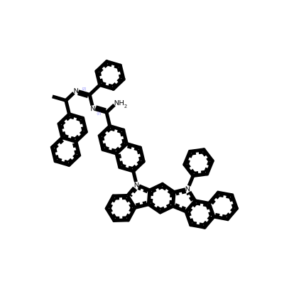 CC(/N=C(\N=C(/N)c1ccc2cc(-n3c4ccccc4c4cc5c6ccc7ccccc7c6n(-c6ccccc6)c5cc43)ccc2c1)c1ccccc1)c1ccc2ccccc2c1